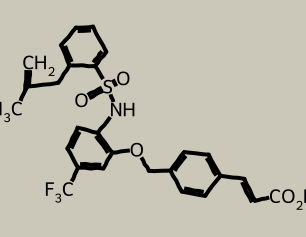 C=C(C)Cc1ccccc1S(=O)(=O)Nc1ccc(C(F)(F)F)cc1OCc1ccc(/C=C/C(=O)O)cc1